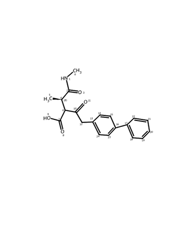 CNC(=O)[C@H](C)C(C(=O)O)C(=O)Cc1ccc(-c2ccccc2)cc1